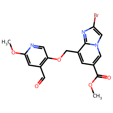 COC(=O)c1cc(COc2cnc(OC)cc2C=O)c2nc(Br)cn2c1